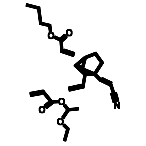 C=CC(=O)OC(C)OCC.C=CC(=O)OCCCC.C=CC1=CC2CCC1(C=CC#N)C2